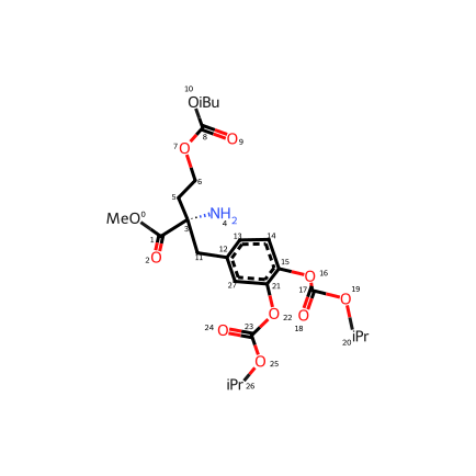 COC(=O)[C@@](N)(CCOC(=O)OCC(C)C)Cc1ccc(OC(=O)OC(C)C)c(OC(=O)OC(C)C)c1